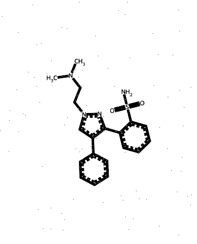 CN(C)CCn1cc(-c2ccccc2)c(-c2ccccc2S(N)(=O)=O)n1